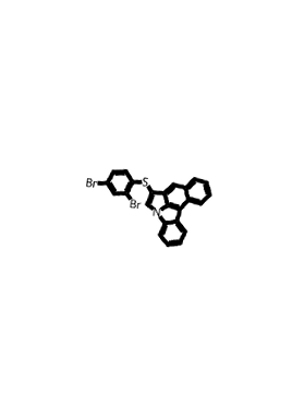 Brc1ccc(Sc2cn3c4ccccc4c4c5ccccc5cc2c43)c(Br)c1